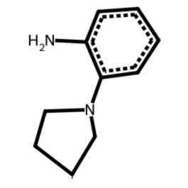 Nc1ccccc1N1C[CH]CC1